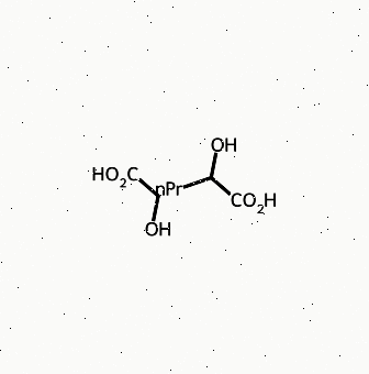 CCCC(O)C(=O)O.O=C(O)CO